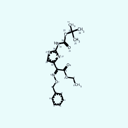 CCOC(=O)C(=NOCc1ccccc1)c1csc(NC(=O)OC(C)(C)C)n1